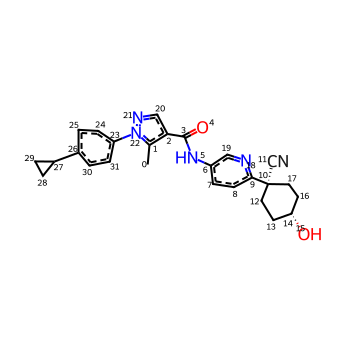 Cc1c(C(=O)Nc2ccc([C@]3(C#N)CC[C@@H](O)CC3)nc2)cnn1-c1ccc(C2CC2)cc1